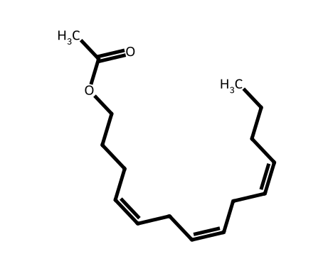 CCC/C=C\C/C=C\C/C=C\CCCOC(C)=O